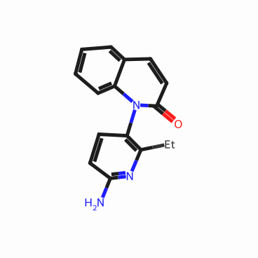 CCc1nc(N)ccc1-n1c(=O)ccc2ccccc21